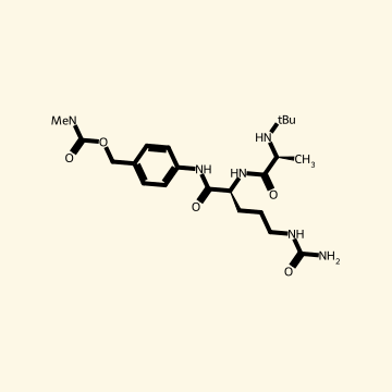 CNC(=O)OCc1ccc(NC(=O)[C@H](CCCNC(N)=O)NC(=O)[C@H](C)NC(C)(C)C)cc1